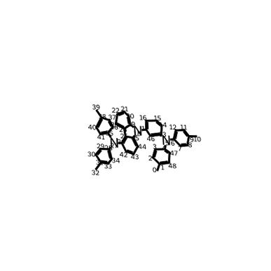 Cc1ccc(N(c2ccc(C)cc2)c2cccc(-n3c4ccccc4c4c(N(c5ccc(C)cc5)c5ccc(C)cc5)cccc43)c2)cc1